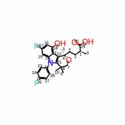 C[C@@H](CC[C@@]1(C)OCC(C)(C)c2c1c1c(O)cc(F)cc1n2-c1ccc(F)cc1)C(=O)O